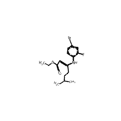 CCOC(=O)C=C(CCC(C)C)Nc1ccc(Br)cc1F